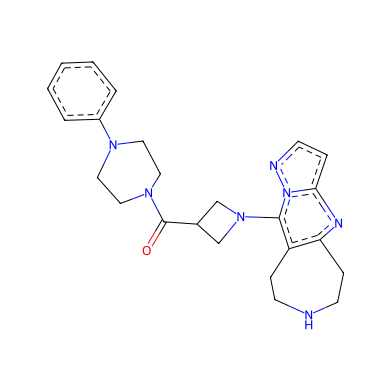 O=C(C1CN(c2c3c(nc4ccnn24)CCNCC3)C1)N1CCN(c2ccccc2)CC1